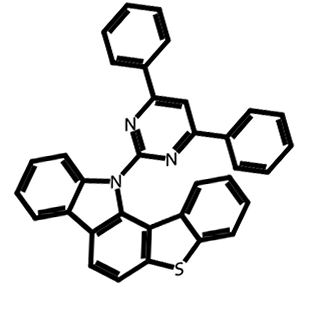 c1ccc(-c2cc(-c3ccccc3)nc(-n3c4ccccc4c4ccc5sc6ccccc6c5c43)n2)cc1